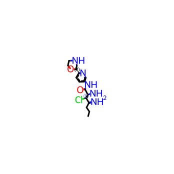 CCCC(=N)/C(Cl)=C(\N)C(=O)Nc1ccc([C@H]2CNCCO2)nc1